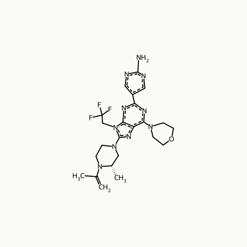 C=C(C)N1CCN(c2nc3c(N4CCOCC4)nc(-c4cnc(N)nc4)nc3n2CC(F)(F)F)C[C@@H]1C